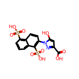 O=C(O)c1cc(O)n(-c2ccc3c(S(=O)(=O)O)cccc3c2S(=O)(=O)O)n1